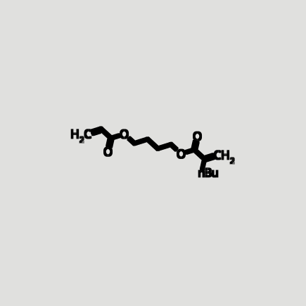 C=CC(=O)OCCCCOC(=O)C(=C)CCCC